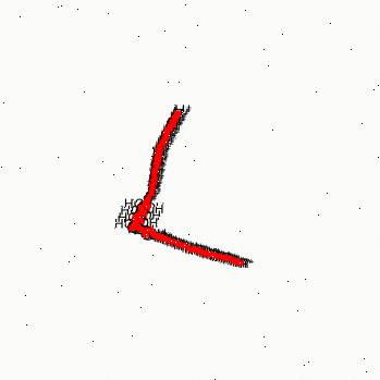 O=C(O)/C=C\C(=O)O.O=C(O)/C=C\C(=O)O.O=C(O)/C=C\C(=O)O.O=C(O)/C=C\C(=O)O.O=C(O)/C=C\C(=O)O.[H+].[H+].[H+].[H+].[H+].[H+].[H+].[H+].[H+].[H+].[H+].[H+].[H+].[H+].[H+].[H+].[H+].[H+].[H+].[H+].[H+].[H+].[H+].[H+].[H+].[H+].[H+].[H+].[H+].[H+].[H+].[H+].[H+].[H+].[H+].[H+].[H+].[H+].[H+].[H+].[H+].[H+].[H+].[H+].[H+].[H+].[H+].[H+].[H+].[H+].[H+].[H+].[H+].[H+].[H+].[H+].[H+].[H+].[H+].[H+].[H+].[H+].[H+].[H+].[H+].[H+].[H+].[H+].[H+].[H+].[H+].[H+].[H+].[H+].[H+].[H+].[H+].[H+].[H+].[H+].[H+].[H+].[H+].[H+].[H+].[H+].[H+].[H+].[H+].[H+].[H+].[H+].[H+].[H+].[H+]